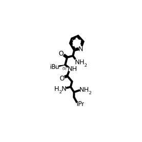 CCC(C)[C@H](NC(=O)CC(N)C(N)CC(C)C)C(=O)C(N)c1ccccn1